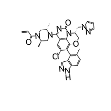 C=CC(=O)N1C[C@H](C)N(c2nc(=O)n3c4c(c(-c5c(C)ccc6[nH]ncc56)c(Cl)cc24)OC[C@H]3Cn2cccn2)C[C@H]1C